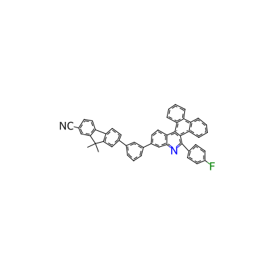 CC1(C)c2cc(C#N)ccc2-c2ccc(-c3cccc(-c4ccc5c(c4)nc(-c4ccc(F)cc4)c4c6ccccc6c6ccccc6c54)c3)cc21